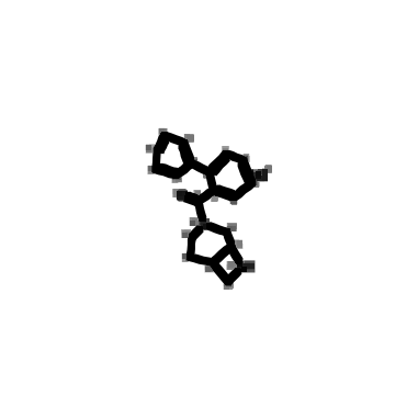 Cl.O=C(c1ccccc1-c1ccccc1)N1CCC2CNC2C1